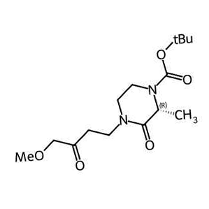 COCC(=O)CCN1CCN(C(=O)OC(C)(C)C)[C@H](C)C1=O